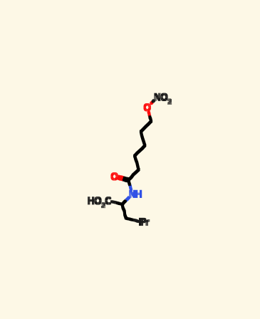 CC(C)CC(NC(=O)CCCCCO[N+](=O)[O-])C(=O)O